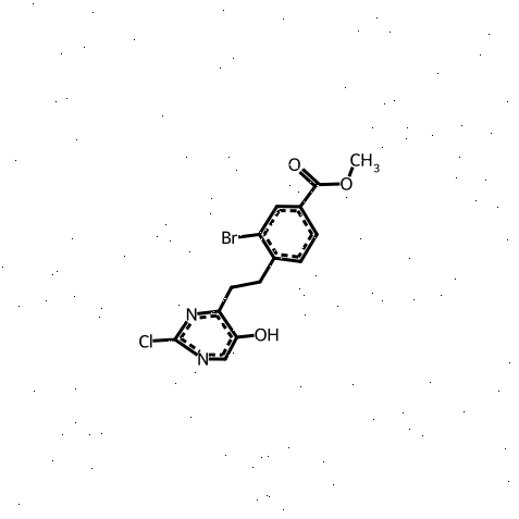 COC(=O)c1ccc(CCc2nc(Cl)ncc2O)c(Br)c1